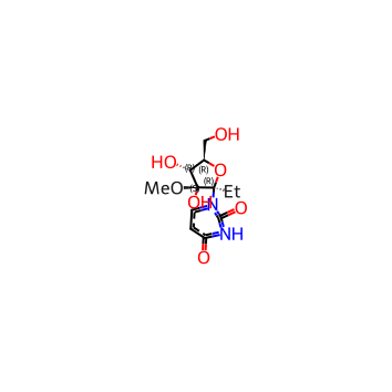 CC[C@@]1(n2ccc(=O)[nH]c2=O)O[C@H](CO)[C@@H](O)[C@]1(O)OC